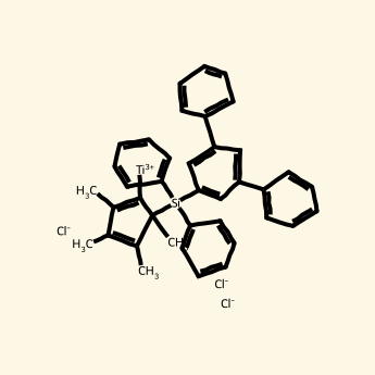 CC1=C(C)C(C)([Si](c2ccccc2)(c2ccccc2)c2cc(-c3ccccc3)cc(-c3ccccc3)c2)[C]([Ti+3])=C1C.[Cl-].[Cl-].[Cl-]